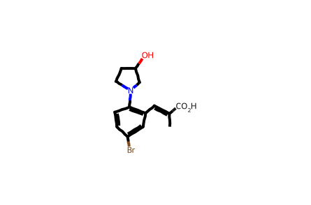 CC(=Cc1cc(Br)ccc1N1CCC(O)C1)C(=O)O